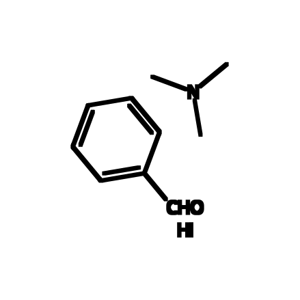 CN(C)C.I.O=Cc1ccccc1